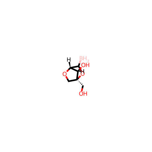 BC1O[C@@]2(CO)CO[C@H]1[C@H]2O